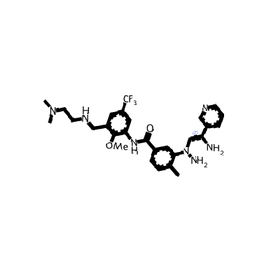 COc1c(CNCCN(C)C)cc(C(F)(F)F)cc1NC(=O)c1ccc(C)c(N(N)/C=C(\N)c2cccnc2)c1